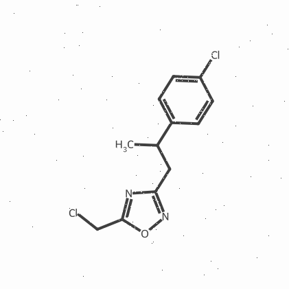 CC(Cc1noc(CCl)n1)c1ccc(Cl)cc1